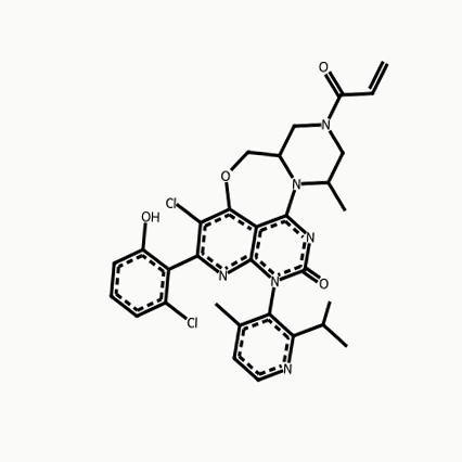 C=CC(=O)N1CC(C)N2c3nc(=O)n(-c4c(C)ccnc4C(C)C)c4nc(-c5c(O)cccc5Cl)c(Cl)c(c34)OCC2C1